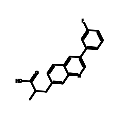 CC(Cc1ccc2cc(-c3cccc(F)c3)cnc2c1)C(=O)O